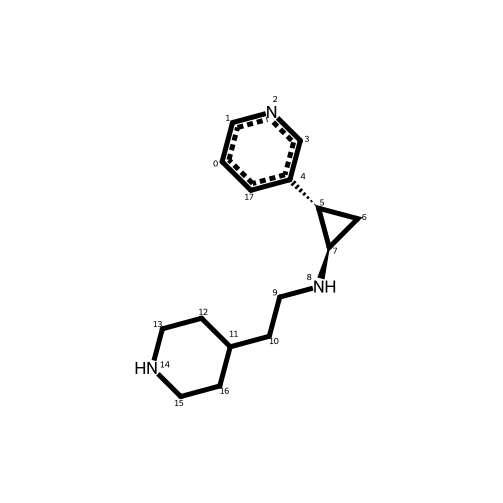 c1cncc([C@@H]2C[C@H]2NCCC2CCNCC2)c1